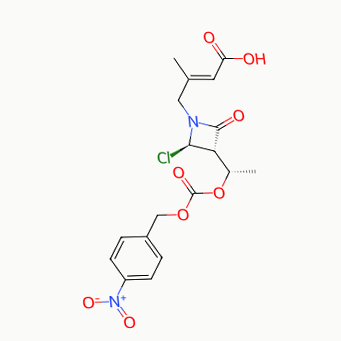 CC(=CC(=O)O)CN1C(=O)[C@H]([C@H](C)OC(=O)OCc2ccc([N+](=O)[O-])cc2)[C@H]1Cl